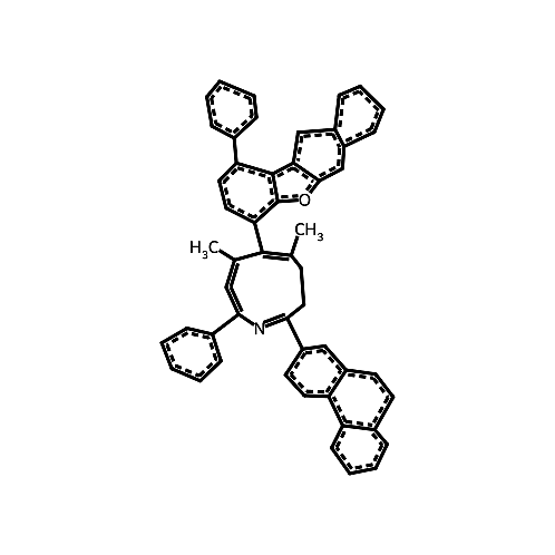 CC1=C=C(c2ccccc2)/N=C(/c2ccc3c(ccc4ccccc43)c2)CC/C(C)=C\1c1ccc(-c2ccccc2)c2c1oc1cc3ccccc3cc12